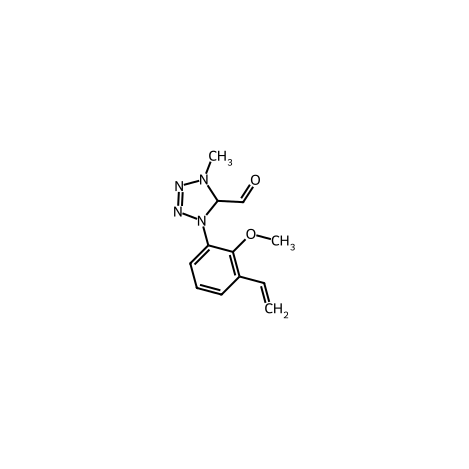 C=Cc1cccc(N2N=NN(C)C2C=O)c1OC